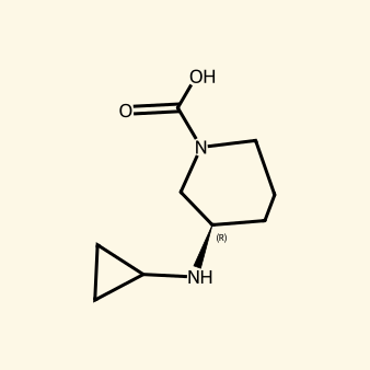 O=C(O)N1CCC[C@@H](NC2CC2)C1